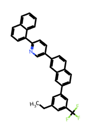 CCc1cc(-c2ccc3ccc(-c4ccc(-c5cccc6ccccc56)nc4)cc3c2)cc(C(F)(F)F)c1